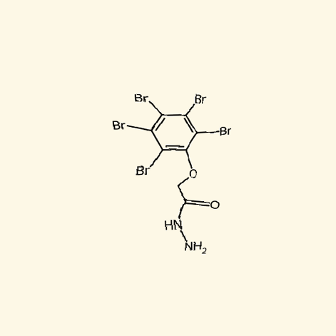 NNC(=O)COc1c(Br)c(Br)c(Br)c(Br)c1Br